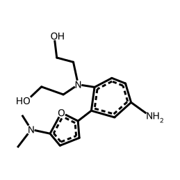 CN(C)c1ccc(-c2cc(N)ccc2N(CCO)CCO)o1